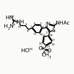 CC(=O)Nc1nc(-c2ccc(CCCNC(=N)N)cc2)c(-c2ccc(S(C)(=O)=O)cc2)s1.Cl